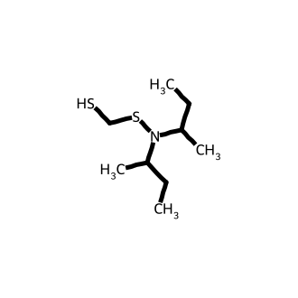 CCC(C)N(SCS)C(C)CC